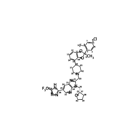 CC1(c2ccc(Cl)cc2F)Oc2cccc(C3CCN(Cc4nc5cc(-c6nnc(C(F)(F)F)[nH]6)cnc5n4C[C@@H]4CCCO4)CC3)c2O1